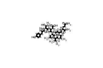 CC[C@H](C)[C@H](NC(=O)[C@H](C)NC(=O)[C@@H](NC(=O)[C@H](CC(C)C)NC(=O)[C@H](CC(=O)O)NC(=O)[C@H](NC(=O)[C@@H](N)Cc1ccc(O)cc1)[C@H](C)O)C(C)C)C(=O)N[C@@H](CCC(N)=O)C(N)=O